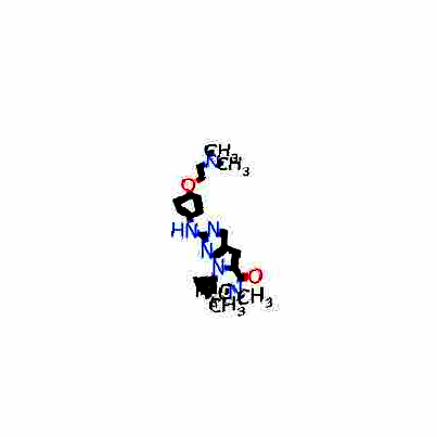 C[C@@H]1C2CC1(n1c(C(=O)N(C)C)cc3cnc(Nc4ccc(OCCN(C)C)cc4)nc31)C2